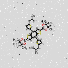 CCCCC(CC)Cc1ccc(-c2c3cc(B4OC(C)(C)C(C)(C)O4)sc3c(-c3ccc(CC(CC)CCCC)s3)c3cc(B4OC(C)(C)C(C)(C)O4)sc23)s1